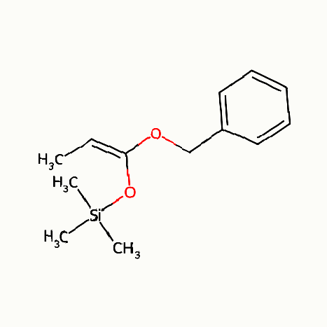 C/C=C(/OCc1ccccc1)O[Si](C)(C)C